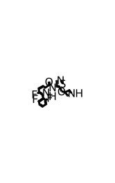 O=C(Nc1cnsc1OC1CNC1)c1ccc(F)c(-c2c(F)cccc2F)n1